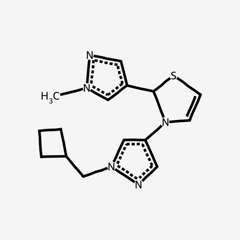 Cn1cc(C2SC=CN2c2cnn(CC3CCC3)c2)cn1